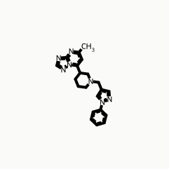 Cc1cc(C2CCCN(Cc3cnn(-c4ccccc4)c3)C2)n2ncnc2n1